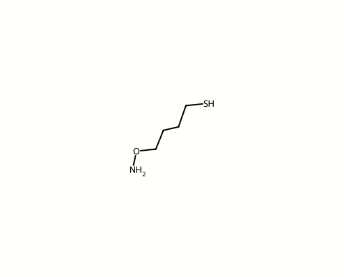 NOCCCCS